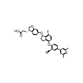 Cc1cc(-c2ccc(Oc3ccc(F)c4c3CC[C@H]4Oc3ccc4c(c3)OC[C@H]4CCC(=O)O)c(C#N)c2)cc(C)n1